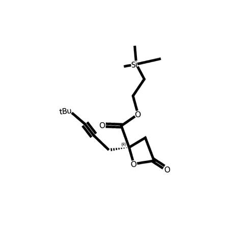 CC(C)(C)C#CC[C@]1(C(=O)OCC[Si](C)(C)C)CC(=O)O1